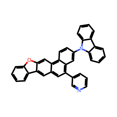 c1cncc(-c2cc3cc4c(cc3c3ccc(-n5c6ccccc6c6ccccc65)cc23)oc2ccccc24)c1